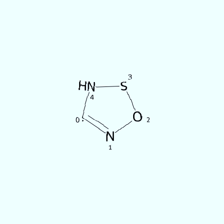 [C]1=NOSN1